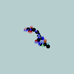 COc1cc(N2CCN(CC3CCN(c4ccc5c(c4)C(=O)N(C4CCC(=O)NC4=O)C5=O)CC3)CC2)c(-c2cnn(C)c2)cc1Nc1ncc(Cl)c(Nc2ccc(-c3ccccc3F)cc2P(C)(C)=O)n1